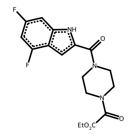 CCOC(=O)C(=O)N1CCN(C(=O)c2cc3c(F)cc(F)cc3[nH]2)CC1